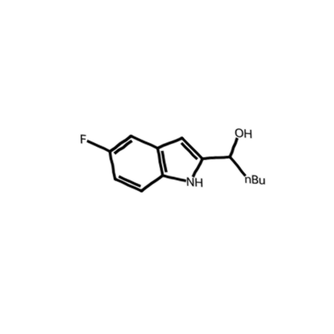 CCCCC(O)c1cc2cc(F)ccc2[nH]1